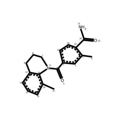 Cc1cc(C(=O)N2CCCc3cccc(C)c32)ccc1C(N)=O